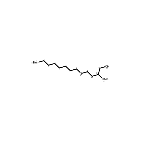 CCCCCCCCCCCCCCCCSCCC(CO)OC